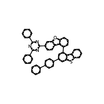 c1ccc(-c2ccc(-c3cc(-c4cccc5oc6cc(-c7nc(-c8ccccc8)nc(-c8ccccc8)n7)ccc6c45)c4c(c3)sc3ccccc34)cc2)cc1